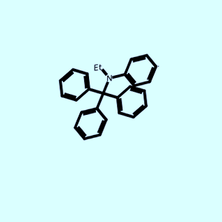 CCN(c1cc[c]cc1)C(c1ccccc1)(c1ccccc1)c1ccccc1